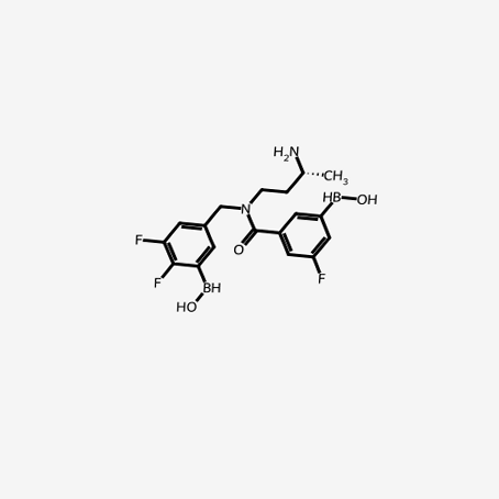 C[C@@H](N)CCN(Cc1cc(F)c(F)c(BO)c1)C(=O)c1cc(F)cc(BO)c1